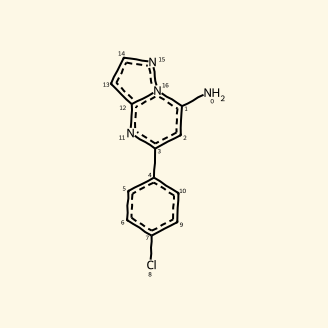 Nc1cc(-c2ccc(Cl)cc2)nc2ccnn12